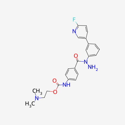 CN(C)CCOC(=O)Nc1ccc(C(=O)N(N)c2cccc(-c3ccc(F)nc3)c2)cc1